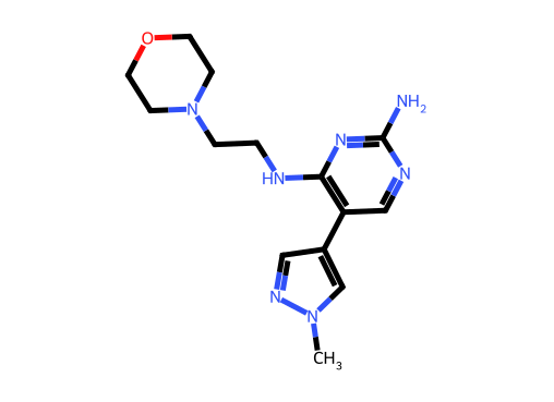 Cn1cc(-c2cnc(N)nc2NCCN2CCOCC2)cn1